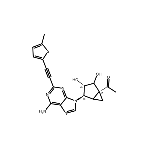 CC(=O)[C@]12CC1[C@@H](n1cnc3c(N)nc(C#Cc4ccc(C)s4)nc31)[C@H](O)C2O